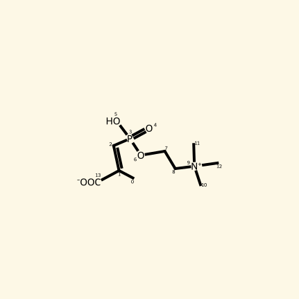 CC(=CP(=O)(O)OCC[N+](C)(C)C)C(=O)[O-]